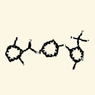 Cc1cc(Oc2ccc(NC(=O)c3c(C)cccc3F)cc2)c(C(F)(F)F)cn1